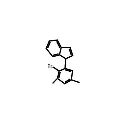 Cc1cc(C)c(Br)c(C2C=Cc3ccccc32)c1